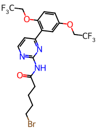 O=C(CCCCBr)Nc1nccc(-c2cc(OCC(F)(F)F)ccc2OCC(F)(F)F)n1